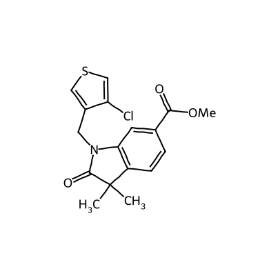 COC(=O)c1ccc2c(c1)N(Cc1cscc1Cl)C(=O)C2(C)C